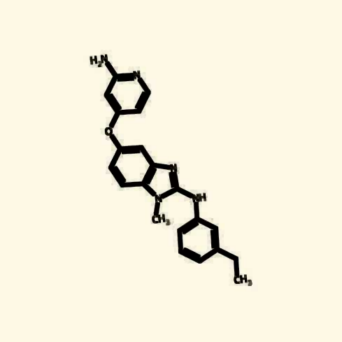 CCc1cccc(Nc2nc3cc(Oc4ccnc(N)c4)ccc3n2C)c1